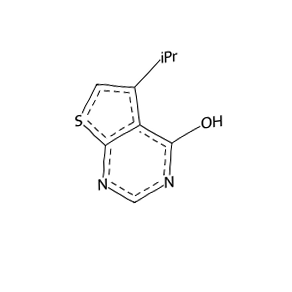 CC(C)c1csc2ncnc(O)c12